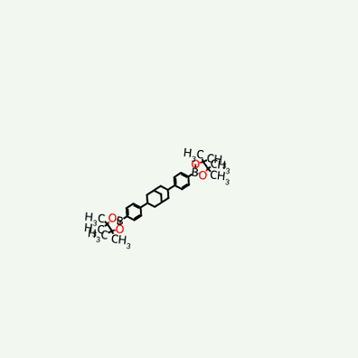 CC1(C)OB(c2ccc(C3CC4CC(C3)CC(c3ccc(B5OC(C)(C)C(C)(C)O5)cc3)C4)cc2)OC1(C)C